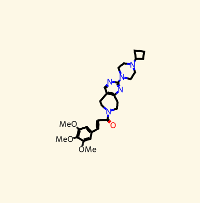 COc1cc(/C=C/C(=O)N2CCc3cnc(N4CCN(C5CCC5)CC4)nc3CC2)cc(OC)c1OC